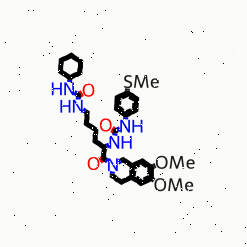 COc1cc2c(cc1OC)CN(C(=O)C(CCCCNC(=O)NC1CCCCC1)NC(=O)Nc1ccc(SC)cc1)CC2